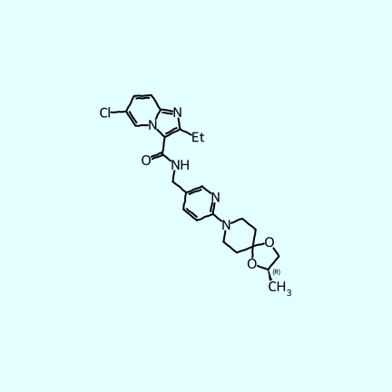 CCc1nc2ccc(Cl)cn2c1C(=O)NCc1ccc(N2CCC3(CC2)OC[C@@H](C)O3)nc1